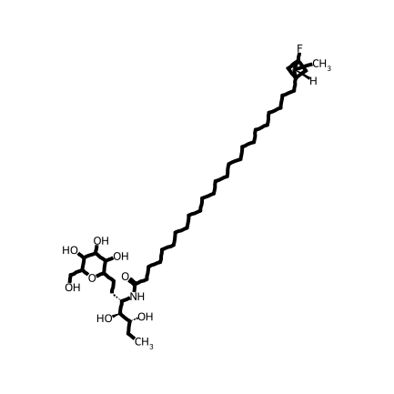 CC[C@@H](O)[C@@H](O)[C@H](CCC1OC(CO)C(O)C(O)C1O)NC(=O)CCCCCCCCCCCCCCCCCCCCCCCC12CC(F)(C1)[C@@H]2C